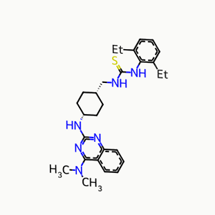 CCc1cccc(CC)c1NC(=S)NC[C@H]1CC[C@@H](Nc2nc(N(C)C)c3ccccc3n2)CC1